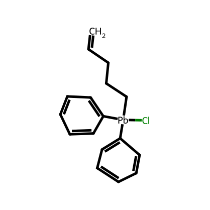 C=CCC[CH2][Pb]([Cl])([c]1ccccc1)[c]1ccccc1